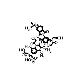 C#CCN1C(=O)COc2cc(F)c(N3C(=O)C4=C(CCCC4)C3=O)cc21.CCc1cccc(C)c1N(C(=O)CCl)C(C)COC.C[S+](C)C.O=C(O)CNCP(=O)([O-])O